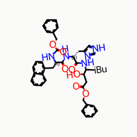 CCC(C)C(NC(=O)[C@@H](Cc1c[nH]cn1)NC(=O)[C@@H](Cc1cccc2ccccc12)NC(=O)OCc1ccccc1)C(O)CC(=O)OCc1ccccc1